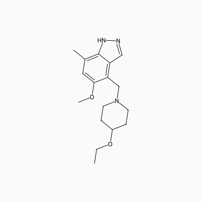 CCOC1CCN(Cc2c(OC)cc(C)c3[nH]ncc23)CC1